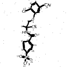 CC(C#N)(COc1cc(C#N)ccc1Cl)NC(=O)c1ccc(S(=O)(=O)C(F)(F)F)cc1